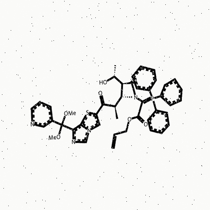 C=CCOC(=O)C(N1C(=O)[C@H]([C@@H](C)O)[C@H]1[C@@H](C)C(=O)c1cn2cnc(C(OC)(OC)c3cccnc3)c2s1)=P(c1ccccc1)(c1ccccc1)c1ccccc1